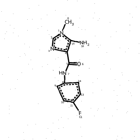 Cn1cnc(C(=O)Nc2ccc(F)cc2)c1N